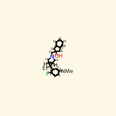 CC[C@]1(c2cc(NC)ccc2F)[C@@H]2CN(CC3(O)Cc4ccccc4C3)C[C@@H]21